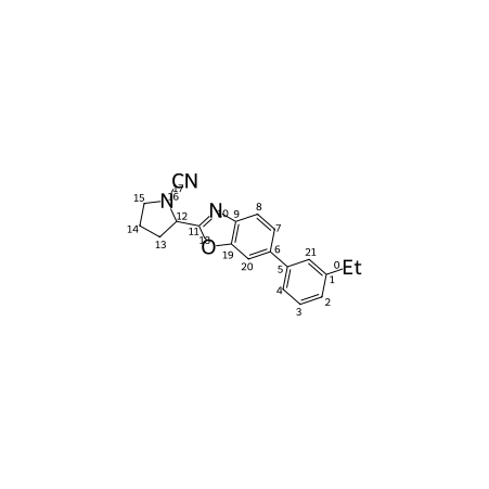 CCc1cccc(-c2ccc3nc(C4CCCN4C#N)oc3c2)c1